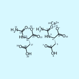 NC(=O)N[C@@H](CC(=O)O)C(=O)[O-].NC(=O)N[C@@H](CC(=O)O)C(=O)[O-].[Ca+2]